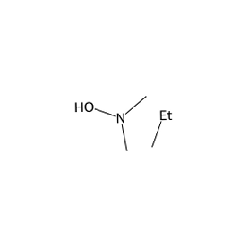 CCC.CN(C)O